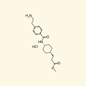 COC(=O)CC[C@H]1CC[C@H](NC(=O)c2ccc(CCN)cc2)CC1.Cl